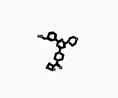 O=C(C1CCN1)N1CCN(c2cc(N3CCOCC3)nc(-c3cccc(CO)c3)n2)CC1